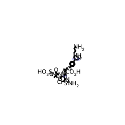 C/N=C/C(=C\NCCCN)c1ccc(OCC(C)(O/N=C(\C(=O)NC2C(=O)N(OS(=O)(=O)O)C2(C)C)c2nc(N)sc2Cl)C(=O)O)cc1